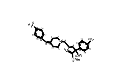 COC(=O)C(CCCN1CCC(=Cc2ccc(C)cc2)CC1)(c1ccc(Br)cc1)C(C)C